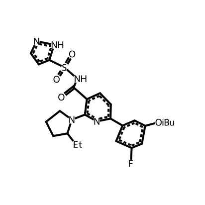 CCC1CCCN1c1nc(-c2cc(F)cc(OCC(C)C)c2)ccc1C(=O)NS(=O)(=O)c1ccn[nH]1